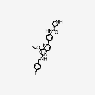 CCOc1nc(NCc2ccc(F)cc2)nc2ccc(-c3ccc(NC(=O)[C@H]4CCNC4)cc3)nc12